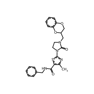 Cc1nc(N2CCN(CC3COc4ccccc4O3)C2=O)sc1C(=O)NCc1ccccc1